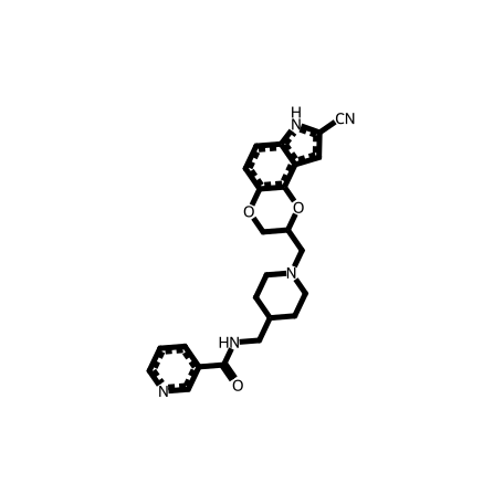 N#Cc1cc2c3c(ccc2[nH]1)OCC(CN1CCC(CNC(=O)c2cccnc2)CC1)O3